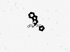 Br[C]1([Zr+2][C]2=CC=CC2)C=C2C=c3ccccc3=C2S1.[Cl-].[Cl-]